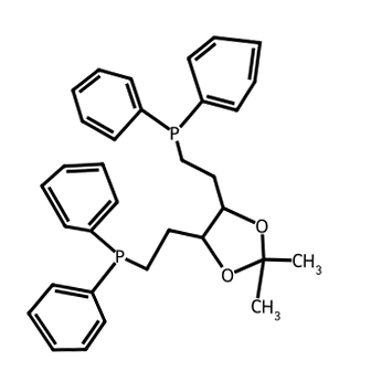 CC1(C)OC(CCP(c2ccccc2)c2ccccc2)C(CCP(c2ccccc2)c2ccccc2)O1